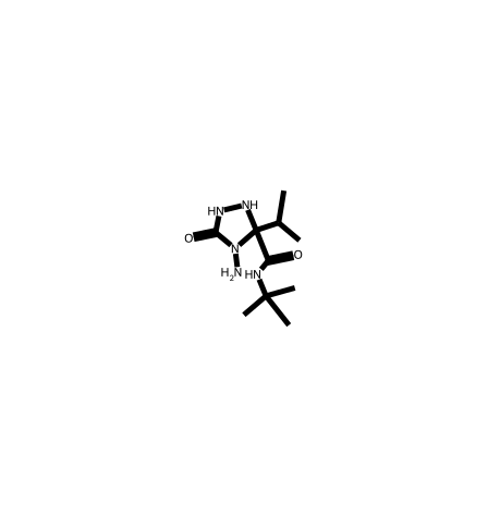 CC(C)C1(C(=O)NC(C)(C)C)NNC(=O)N1N